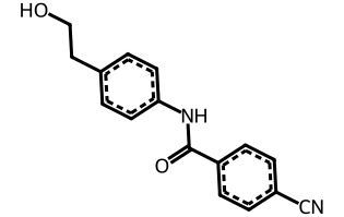 N#Cc1ccc(C(=O)Nc2ccc(CCO)cc2)cc1